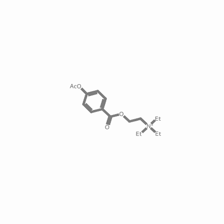 CC[N+](CC)(CC)CCOC(=O)c1ccc(OC(C)=O)cc1